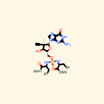 C#C[C@]1(F)C(O)[C@@H](COP(=O)(NC(CC(C)C)C(=O)OC)NC(CC(C)C)C(=O)OC)O[C@H]1n1cnc2c(=O)[nH]c(N)nc21